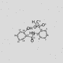 CS(=O)(=O)c1ccccc1NC(=O)c1ccccc1O